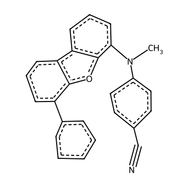 CN(c1ccc(C#N)cc1)c1cccc2c1oc1c(-c3ccccc3)cccc12